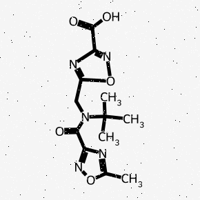 Cc1nc(C(=O)N(Cc2nc(C(=O)O)no2)C(C)(C)C)no1